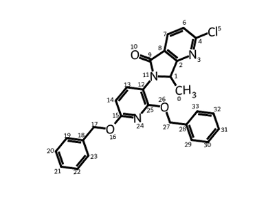 CC1c2nc(Cl)ccc2C(=O)N1c1ccc(OCc2ccccc2)nc1OCc1ccccc1